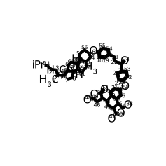 CC(C)CCC[C@@H](C)[C@H]1CC[C@H]2[C@@H]3CCC4CC(Oc5ccc(C=CC(=O)c6ccc(Oc7ccc8c(c7)C7C(=O)OC(=O)C7CC8C7CC(=O)OC7=O)cc6)cc5)CC[C@]4(C)[C@H]3CC[C@]12C